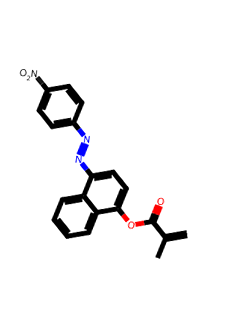 C=C(C)C(=O)Oc1ccc(N=Nc2ccc([N+](=O)[O-])cc2)c2ccccc12